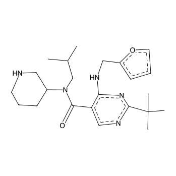 CC(C)CN(C(=O)c1cnc(C(C)(C)C)nc1NCc1ccco1)C1CCCNC1